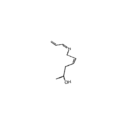 C=C/C=N\C/C=C\CC(C)O